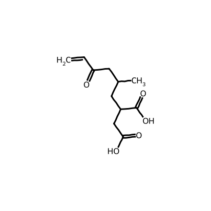 C=CC(=O)CC(C)CC(CC(=O)O)C(=O)O